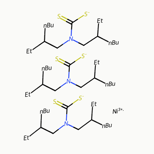 CCCCC(CC)CN(CC(CC)CCCC)C(=S)[S-].CCCCC(CC)CN(CC(CC)CCCC)C(=S)[S-].CCCCC(CC)CN(CC(CC)CCCC)C(=S)[S-].[Ni+3]